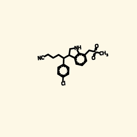 CS(=O)(=O)Cc1cccc2c1NCC2C(CCCC#N)c1ccc(Cl)cc1